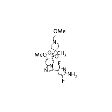 COCCN1CCC(C)(S(=O)(=O)c2cn3c(-c4cc(F)c(N)nc4F)cnc3cc2OC)CC1